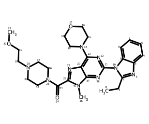 CCc1nc2ccccc2n1-c1nc(N2CCOCC2)c2nc(C(=O)N3CCN(CCOC)CC3)n(C)c2n1